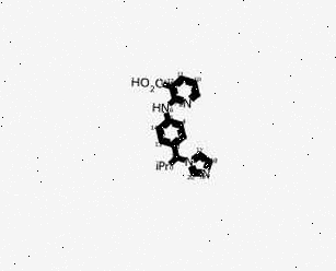 CC(C)C(c1ccc(Nc2ncccc2C(=O)O)cc1)n1ccnc1